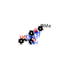 COc1ccc(NC(=O)Nc2cccc3nc(-c4c(NCC(O)c5ccccc5)cc[nH]c4=O)[nH]c23)cc1